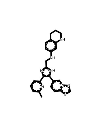 Cc1cccc(-c2nc(CNc3ccc4c(c3)NCCC4)[nH]c2-c2ccc3ncnn3c2)n1